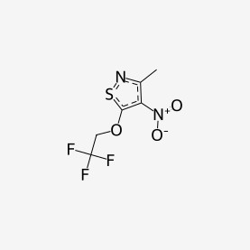 Cc1nsc(OCC(F)(F)F)c1[N+](=O)[O-]